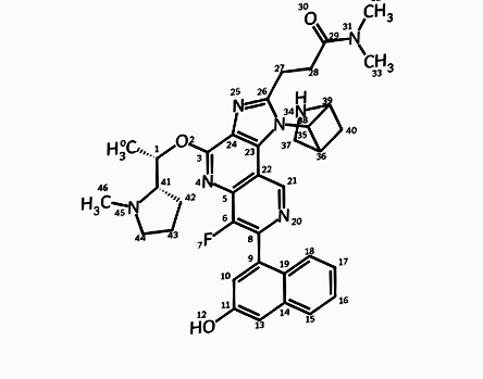 C[C@H](Oc1nc2c(F)c(-c3cc(O)cc4ccccc34)ncc2c2c1nc(CCC(=O)N(C)C)n2C1C2CNC1C2)[C@@H]1CCCN1C